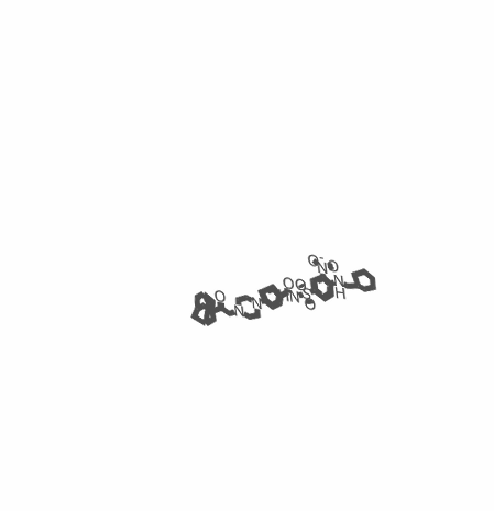 O=C(NS(=O)(=O)c1ccc(NCC2CCCCC2)c([N+](=O)[O-])c1)c1ccc(N2CCN(CC(=O)C34CC5CC(CC(C5)C3)C4)CC2)cc1